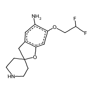 Nc1cc2c(cc1OCC(F)F)OC1(CCNCC1)C2